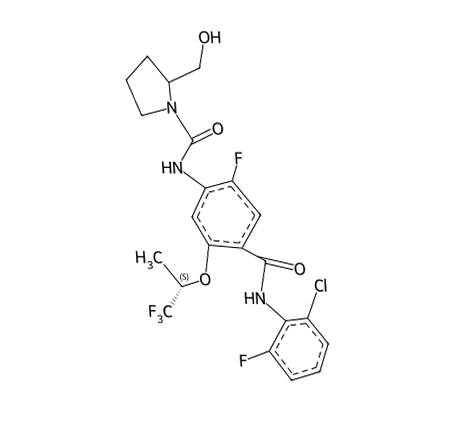 C[C@H](Oc1cc(NC(=O)N2CCCC2CO)c(F)cc1C(=O)Nc1c(F)cccc1Cl)C(F)(F)F